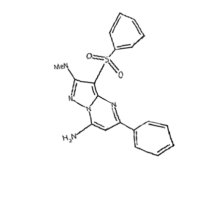 CNc1nn2c(N)cc(-c3ccccc3)nc2c1S(=O)(=O)c1ccccc1